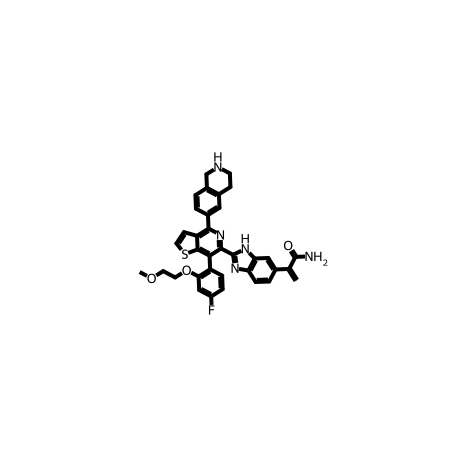 C=C(C(N)=O)c1ccc2nc(-c3nc(-c4ccc5c(c4)CCNC5)c4ccsc4c3-c3ccc(F)cc3OCCOC)[nH]c2c1